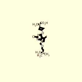 CN(C(=O)O)[C@H]1C[C@H](Oc2nc(Cl)nc3c2c(I)cn3COCC[Si](C)(C)C)C1